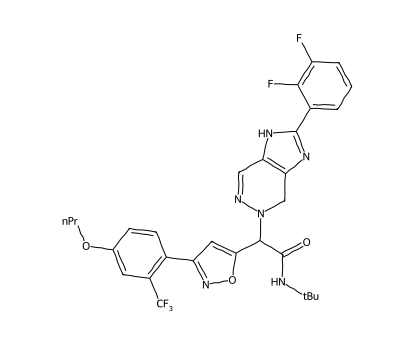 CCCOc1ccc(-c2cc(C(C(=O)NC(C)(C)C)N3Cc4nc(-c5cccc(F)c5F)[nH]c4C=N3)on2)c(C(F)(F)F)c1